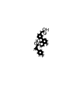 COc1ccc(CC(=O)O)cc1-c1ccc(F)c2c1CN(C(=O)C1CC1c1ccc(F)cc1)CC2